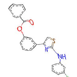 O=C(Oc1cccc(-c2csc(Nc3cccc(Br)c3)n2)c1)c1ccccc1